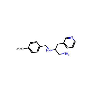 COc1ccc(CNC(CN)Cc2cccnc2)cc1